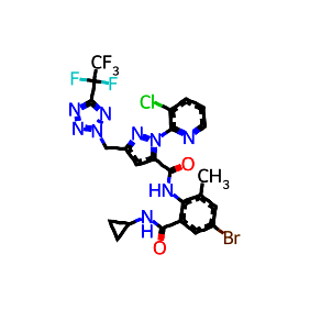 Cc1cc(Br)cc(C(=O)NC2CC2)c1NC(=O)c1cc(Cn2nnc(C(F)(F)C(F)(F)F)n2)nn1-c1ncccc1Cl